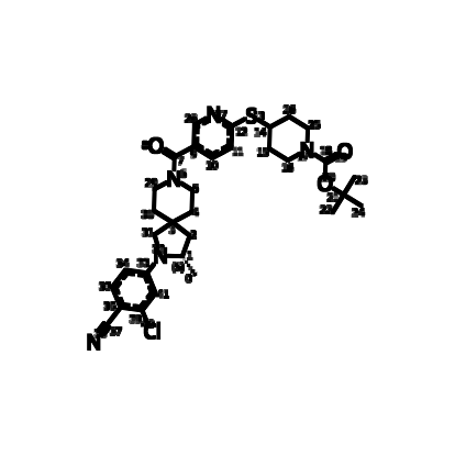 C[C@H]1CC2(CCN(C(=O)c3ccc(SC4CCN(C(=O)OC(C)(C)C)CC4)nc3)CC2)CN1c1ccc(C#N)c(Cl)c1